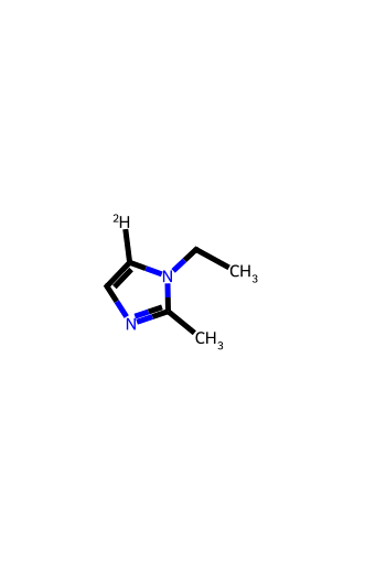 [2H]c1cnc(C)n1CC